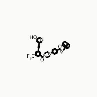 CN(CC12CC3CC(CC(C3)C1)C2)C(=O)c1ccc(N2CCN(C(=O)c3cc(C#Cc4cncc(O)c4)cc(C(F)(F)F)c3)CC2)cc1